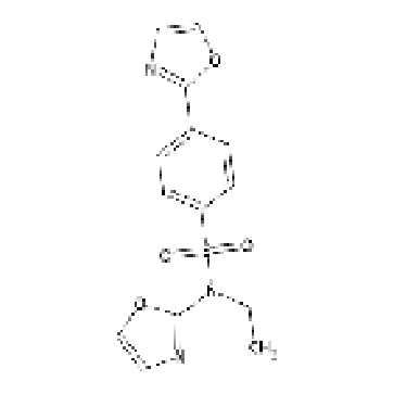 CCN(c1ncco1)S(=O)(=O)c1ccc(-c2ncco2)cc1